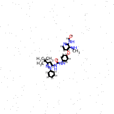 CNc1c(Oc2ccc(NC(=O)Nc3cc(C(C)(C)C)nn3-c3ccccc3)cc2)ccnc1NC=O